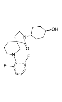 O=C1N([C@H]2CC[C@H](O)CC2)CC[C@]12CCCN(c1c(F)cccc1F)C2